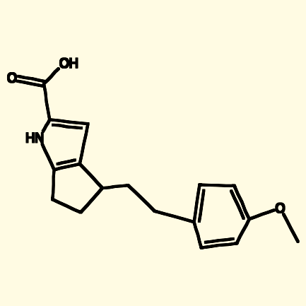 COc1ccc(CCC2CCc3[nH]c(C(=O)O)cc32)cc1